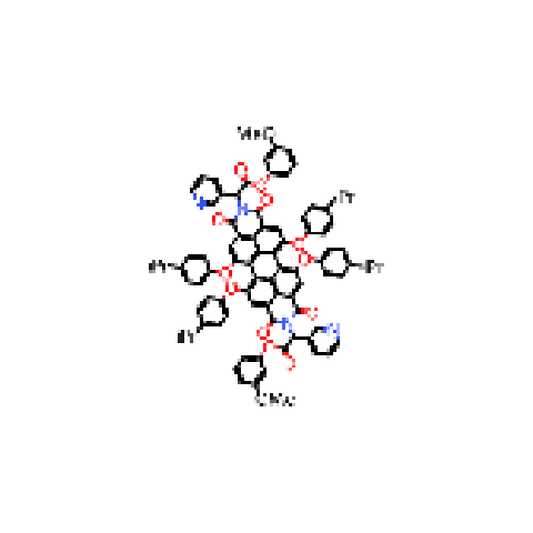 COc1cccc(OC(=O)C(c2cccnc2)N2C(=O)c3cc(Oc4ccc(C(C)C)cc4)c4c5c(Oc6ccc(C(C)C)cc6)cc6c7c(cc(Oc8ccc(C(C)C)cc8)c(c8c(Oc9ccc(C(C)C)cc9)cc(c3c48)C2=O)c75)C(=O)N(C(C(=O)Oc2cccc(OC)c2)c2cccnc2)C6=O)c1